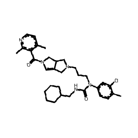 Cc1ccc(N(CCCN2CC3=CN(C(=O)c4c(C)ccnc4C)CC3C2)C(=O)NCC2CCCCC2)cc1Cl